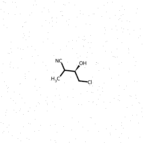 CC(C#N)[C@@H](O)CCl